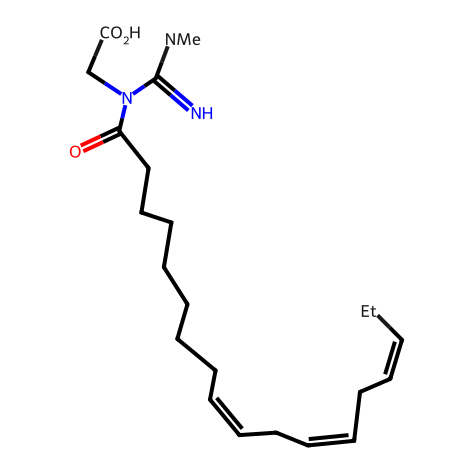 CC/C=C\C/C=C\C/C=C\CCCCCCCC(=O)N(CC(=O)O)C(=N)NC